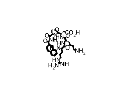 CC(C)[C@H](NC(=O)[C@H](CC(=O)O)NC(=O)[C@H](CCCCN)NC(=O)[C@@H](N)CCCNC(=N)N)C(=O)NC(=O)c1ccc2ccccc2c1